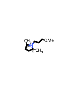 COCCCN1[C@H](C)CC[C@H]1C